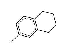 [CH2]c1ccc2c(c1)CCCC2